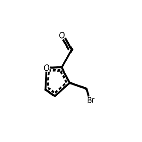 O=Cc1occc1CBr